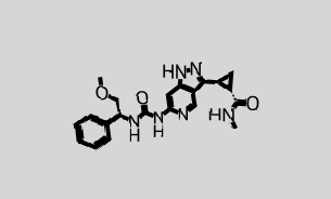 CNC(=O)[C@H]1CC1c1n[nH]c2cc(NC(=O)N[C@H](COC)c3ccccc3)ncc12